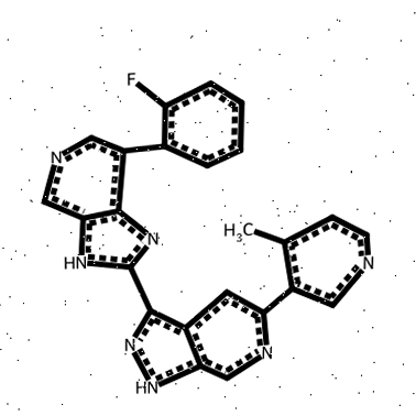 Cc1ccncc1-c1cc2c(-c3nc4c(-c5ccccc5F)cncc4[nH]3)n[nH]c2cn1